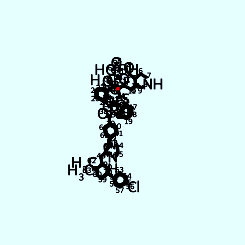 [CH2][C@H](OC(=O)C1CCNCC1CCCC(Sc1ccccc1)N(c1ccccc1S(=O)(=O)C(F)(F)F)S(=O)(=O)NC(=O)c1ccc(N2CCNC(CC3CC(c4ccc(Cl)cc4)=CCC3(C)C)C2)cc1)P(=O)(O)O